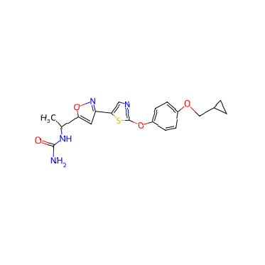 CC(NC(N)=O)c1cc(-c2cnc(Oc3ccc(OCC4CC4)cc3)s2)no1